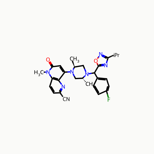 CC(C)c1noc(C(c2ccc(F)cc2)N2C[C@H](C)N(c3cc(=O)n(C)c4ccc(C#N)nc34)C[C@H]2C)n1